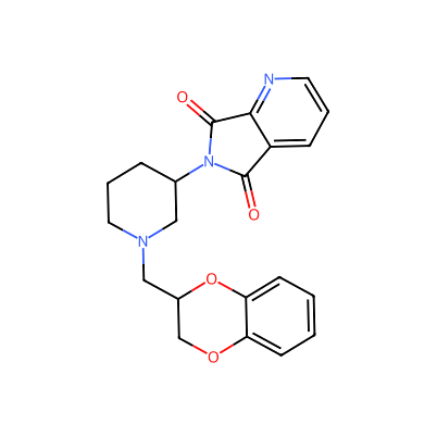 O=C1c2cccnc2C(=O)N1C1CCCN(CC2COc3ccccc3O2)C1